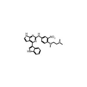 CN(C)CCN(C)c1ccc(Nc2nc(-c3c[nH]c4ccccc34)c3cc[nH]c3n2)cc1[N+](=O)[O-]